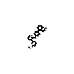 Cc1cccc(-c2cccnc2Cc2ccc(-c3ccnc4[nH]ccc34)cc2)n1